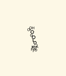 C[C@H](Cc1ccc(Sc2cccc(Oc3cccc(C(=O)O)c3)c2)cc1)NC(=O)C(F)(F)F